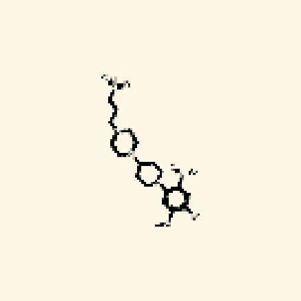 COc1cc(N2CCC(N3CCN(CCC[SH](=O)=O)CC3)CC2)c([N+](=O)[O-])cc1Br